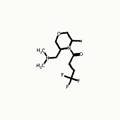 CN(C)CC1COCC(I)N1C(=O)CCC(F)(F)F